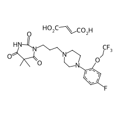 CC1(C)C(=O)NC(=O)N(CCCN2CCN(c3ccc(F)cc3OCC(F)(F)F)CC2)C1=O.O=C(O)C=CC(=O)O